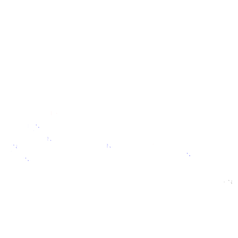 N#Cc1ccc(COc2ccc(C(F)(F)C(O)(CN(N)/C=N\N)c3ccc(F)cc3F)nc2)nc1